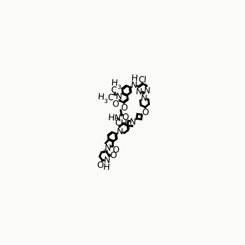 CNC(=O)COc1cc2cc(Nc3nc(N4CCC(OC5CC(N6CC7(CCN(c8ccc9c(c8)C(=O)N([C@@H]8CCC(=O)NC8=O)C9)CC7)C6)C5)CC4)ncc3Cl)ccc2n(C(C)C)c1=O